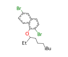 CCC(C)CCCC(CC)Oc1c(Br)ccc2cc(Br)ccc12